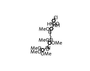 COc1cc(C2NC(=O)c3cc(Cl)ccc3N2)ccc1OCCCCOc1c(OC)cc(C2=NOC(c3cc(OC)c(OC)c(OC)c3)C2)cc1OC